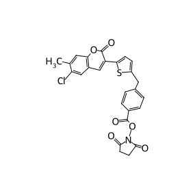 Cc1cc2oc(=O)c(-c3ccc(Cc4ccc(C(=O)ON5C(=O)CCC5=O)cc4)s3)cc2cc1Cl